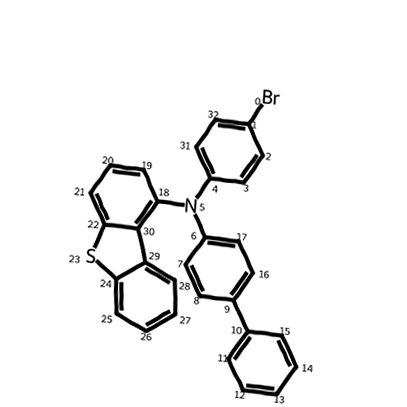 Brc1ccc(N(c2ccc(-c3ccccc3)cc2)c2cccc3sc4ccccc4c23)cc1